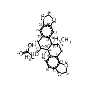 CC(=O)O.CN1Cc2c(ccc3c2OCO3)[C@@H]2[C@H]1c1cc3c(cc1C[C@@H]2O)OCO3